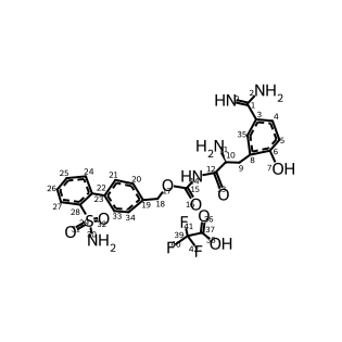 N=C(N)c1ccc(O)c(C[C@H](N)C(=O)NC(=O)OCc2ccc(-c3ccccc3S(N)(=O)=O)cc2)c1.O=C(O)C(F)(F)F